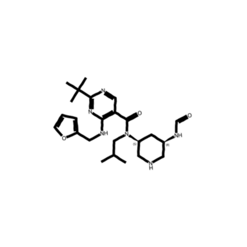 CC(C)CN(C(=O)c1cnc(C(C)(C)C)nc1NCc1ccco1)[C@@H]1CNC[C@H](NC=O)C1